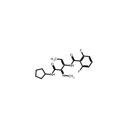 C/C=C(NC(=O)c1c(F)cccc1F)\C(=N/C)C(=O)NC1CCCC1